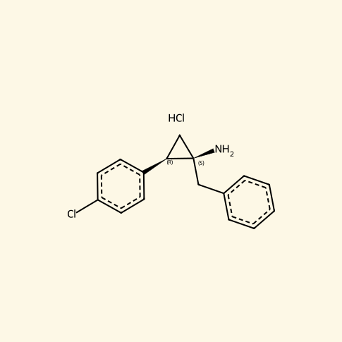 Cl.N[C@]1(Cc2ccccc2)C[C@@H]1c1ccc(Cl)cc1